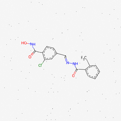 O=C(NO)c1ccc(C=NNC(=O)c2ccccc2C(F)(F)F)cc1Cl